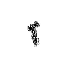 Cc1noc(-c2ccc(O[C@H]3CCC[C@H](C(=O)OC(C)C)C3)cn2)c1COC1CCCCO1